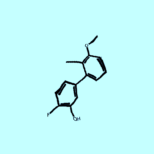 COc1[c]ccc(-c2ccc(F)c(O)c2)c1C